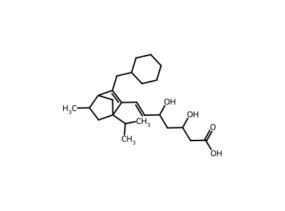 CC1CC2(C(C)C)CC1C(CC1CCCCC1)=C2/C=C/C(O)CC(O)CC(=O)O